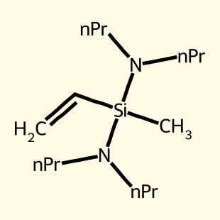 C=C[Si](C)(N(CCC)CCC)N(CCC)CCC